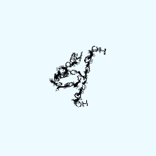 COCC(C)OCC(C)OCC(C)OCC(C)OCC(C)OCC(C)OCC(C)O.OCCOCCOCCOCCOCCOCCO